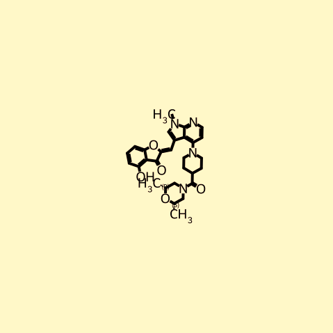 C[C@@H]1CN(C(=O)C2CCN(c3ccnc4c3c(C=C3Oc5cccc(O)c5C3=O)cn4C)CC2)C[C@H](C)O1